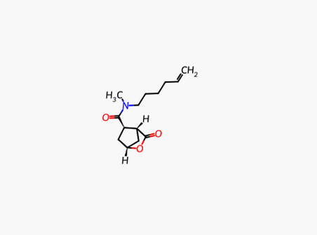 C=CCCCCN(C)C(=O)[C@@H]1C[C@@H]2C[C@H]1C(=O)O2